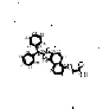 O=C(O)COc1cccc2c1CCc1sc(C(c3ccccc3)c3ccccc3)nc1-2